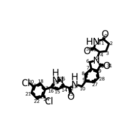 O=C1CCC(N2Cc3cc(CNC(=O)c4cc(-c5cc(Cl)ccc5Cl)[nH]n4)ccc3C2=O)C(=O)N1